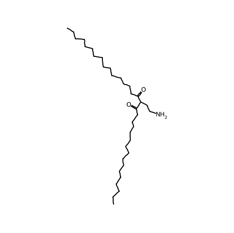 CCCCCCCCCCCCCCCC(=O)C(CCN)C(=O)CCCCCCCCCCCCCCC